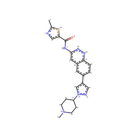 Cc1ncc(C(=O)Nc2cc3cc(-c4cnn(C5CCN(C)CC5)c4)ccc3nn2)s1